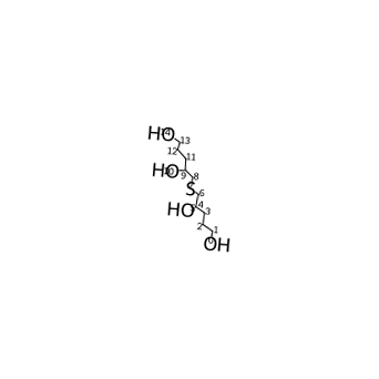 OCCCC(O)CSCC(O)CCCO